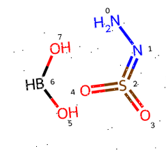 NN=S(=O)=O.OBO